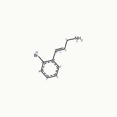 NC/C=C/c1ccccc1Br